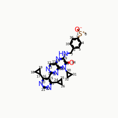 C[S+]([O-])c1ccc(CNc2nc3cnc(-c4c(C5CC5)ncnc4C4CC4)nc3n(C3CC3)c2=O)cc1